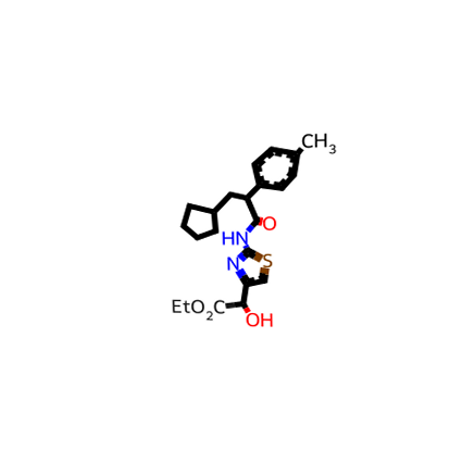 CCOC(=O)C(O)c1csc(NC(=O)C(CC2CCCC2)c2ccc(C)cc2)n1